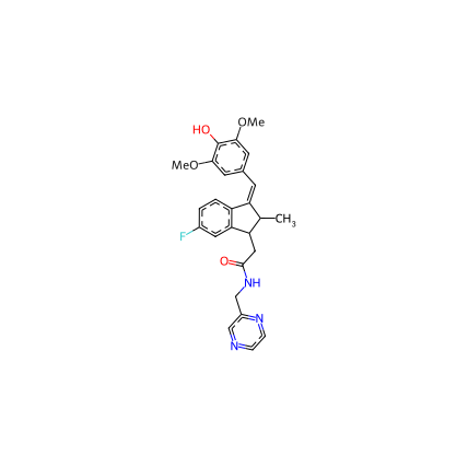 COc1cc(/C=C2\c3ccc(F)cc3C(CC(=O)NCc3cnccn3)C2C)cc(OC)c1O